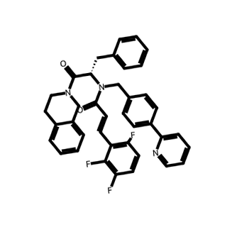 O=C([C@H](Cc1ccccc1)N(Cc1ccc(-c2ccccn2)cc1)C(=O)C=Cc1c(F)ccc(F)c1F)N1CCc2ccccc2C1